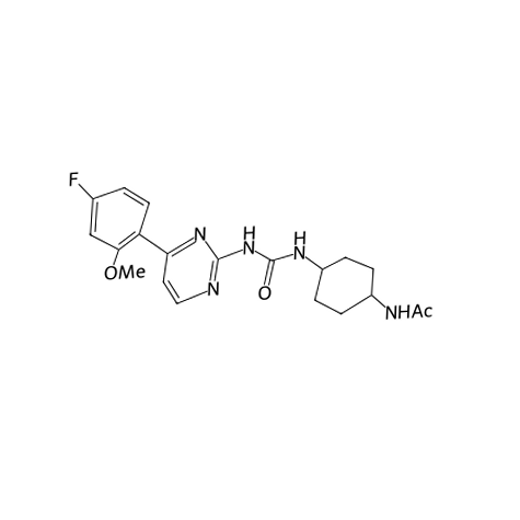 COc1cc(F)ccc1-c1ccnc(NC(=O)NC2CCC(NC(C)=O)CC2)n1